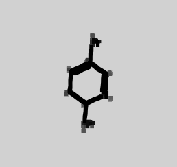 CCCC1CC=C(C(C)C)C=N1